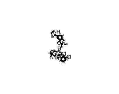 CN(Cc1ccc(C2=NCCN2)cc1)C(=O)COC[C@@H]1COC(C)(C)CN1S(=O)(=O)c1cccc(Cl)c1Cl